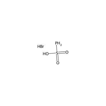 Br.O=S(=O)(O)P